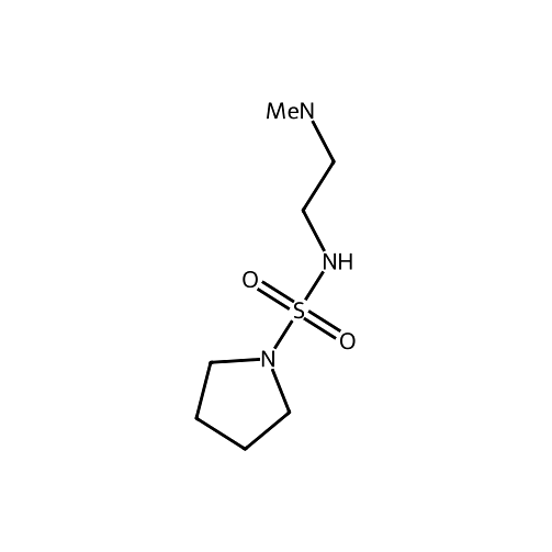 CNCCNS(=O)(=O)N1CCCC1